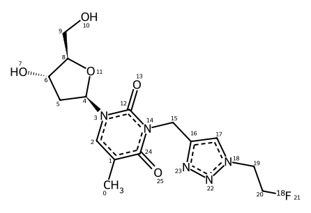 Cc1cn([C@H]2C[C@H](O)[C@@H](CO)O2)c(=O)n(Cc2cn(CC[18F])nn2)c1=O